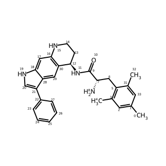 Cc1cc(C)c(C[C@H](N)C(=O)N[C@@H]2CCNc3cc4[nH]cc(-c5ccccc5)c4cc32)c(C)c1